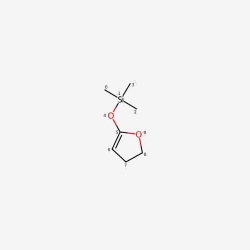 C[Si](C)(C)OC1=CCCO1